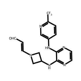 O=CC=CN1CC(Nc2nccnc2Nc2ccc(C(F)(F)F)nc2)C1